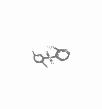 Cc1ccc(I)cc1S(=O)(=O)c1cccnc1N